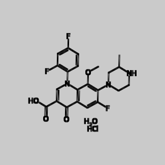 COc1c(N2CCNC(C)C2)c(F)cc2c(=O)c(C(=O)O)cn(-c3ccc(F)cc3F)c12.Cl.O